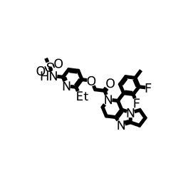 CCc1nc(NS(C)(=O)=O)ccc1OCC(=O)N1CCc2nc3n(c2C1c1ccc(C)c(F)c1F)CCC3